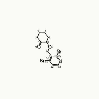 O=C1CCCCC1OCc1c(Br)ccnc1Br